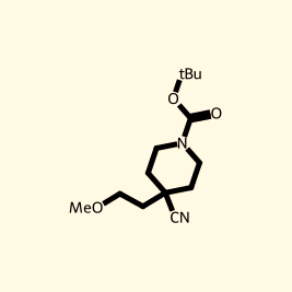 COCCC1(C#N)CCN(C(=O)OC(C)(C)C)CC1